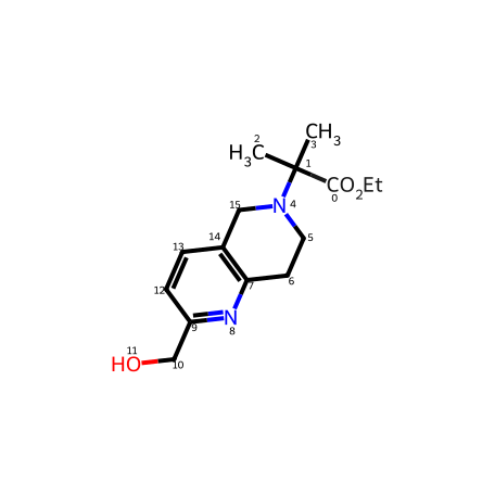 CCOC(=O)C(C)(C)N1CCc2nc(CO)ccc2C1